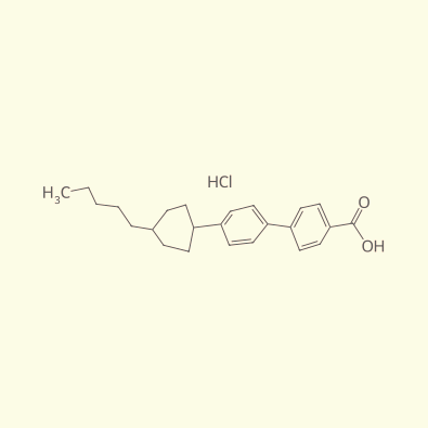 CCCCCC1CCC(c2ccc(-c3ccc(C(=O)O)cc3)cc2)CC1.Cl